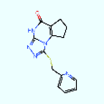 O=c1[nH]c2nnc(SCc3ccccn3)n2c2c1CCC2